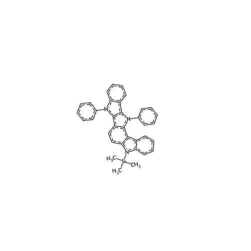 C[Si](C)(C)n1c2ccccc2c2c3c(ccc21)c1c(c2ccccc2n1-c1ccccc1)n3-c1ccccc1